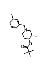 CC1C=C(CN2CC[C@H](OC(=O)C(C)(C)C)[C@@H](C)C2)C=CC1